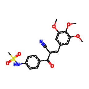 COc1cc(/C=C(\C#N)C(=O)c2ccc(NS(C)(=O)=O)cc2)cc(OC)c1OC